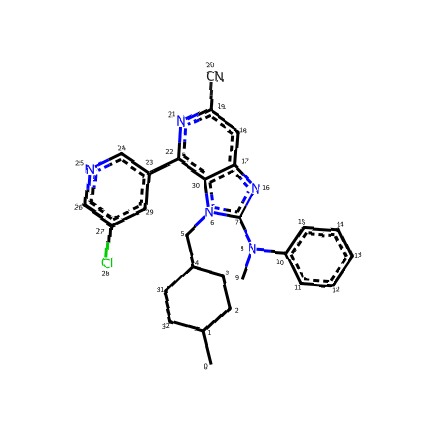 CC1CCC(Cn2c(N(C)c3ccccc3)nc3cc(C#N)nc(-c4cncc(Cl)c4)c32)CC1